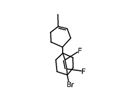 CC1=CCC(C23CCC(Br)(CC2)C(F)=C3F)CC1